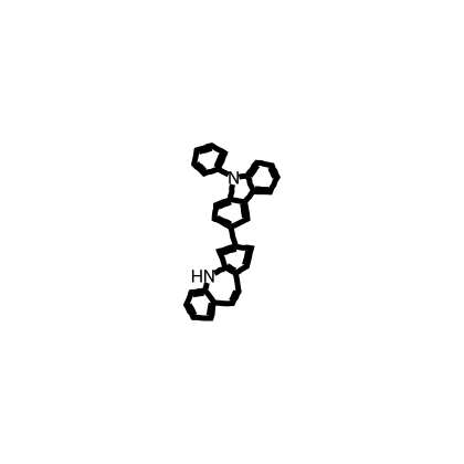 C1=Cc2ccc(-c3ccc4c(c3)c3ccccc3n4-c3ccccc3)cc2Nc2ccccc21